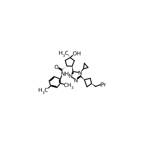 Cc1ccc(NC(=O)[C@@H]2C[C@@](C)(O)C[C@H]2c2nnc([C@H]3C[C@@H](CC(C)C)C3)n2C2CC2)c(C)c1